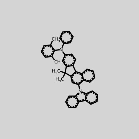 Cc1cccc(C)c1N(c1ccccc1)c1ccc2c(c1)C(C)(C)c1cc(-n3c4ccccc4c4ccccc43)c3ccccc3c1-2